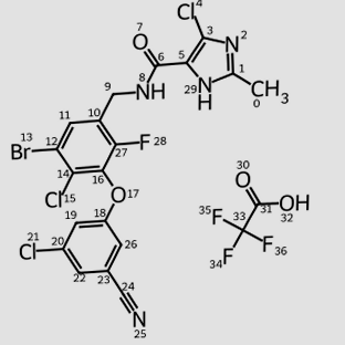 Cc1nc(Cl)c(C(=O)NCc2cc(Br)c(Cl)c(Oc3cc(Cl)cc(C#N)c3)c2F)[nH]1.O=C(O)C(F)(F)F